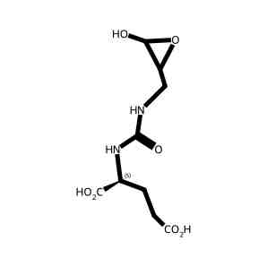 O=C(O)CC[C@H](NC(=O)NCC1OC1O)C(=O)O